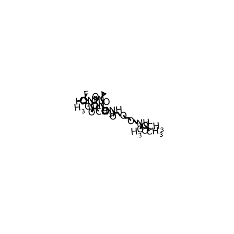 Cc1c(=O)n(C)c(Nc2ccc(I)cc2F)c2c(=O)n(C3CC3)c(=O)n(-c3cccc(NC(=O)CCOCCOCCNC(=O)OC(C)(C)C)c3)c12